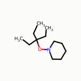 CCC(CC)(CC)ON1CCCCC1